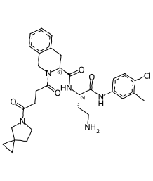 Cc1cc(NC(=O)[C@H](CCN)NC(=O)[C@@H]2Cc3ccccc3CN2C(=O)CCC(=O)N2CCC3(CC3)C2)ccc1Cl